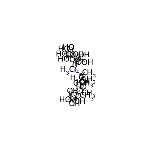 C/C(=C/CC[C@@H](C)[C@H]1CC[C@@]2(C)[C@@H]3CC=C4[C@@H](CC[C@H](O[C@@H]5O[C@H](CO)[C@@H](O)[C@H](O)[C@H]5O)C4(C)C)[C@]3(C)C(=O)C[C@]12C)CO[C@@H]1O[C@H](CO)[C@@H](O)[C@H](O)[C@H]1O[C@@H]1O[C@H](CO)[C@@H](O)[C@H](O)[C@H]1O